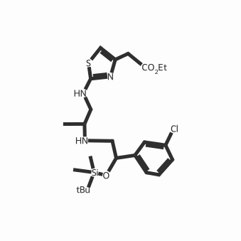 CCOC(=O)Cc1csc(NCC(C)NCC(O[Si](C)(C)C(C)(C)C)c2cccc(Cl)c2)n1